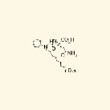 CCCCCCCCCCCCCCCCCCN(CC(=O)N[C@@H](CCC(N)=O)C(=O)O)c1ccccc1